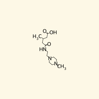 CC(CC(=O)O)CC(=O)NCCN1CCN(C)CC1